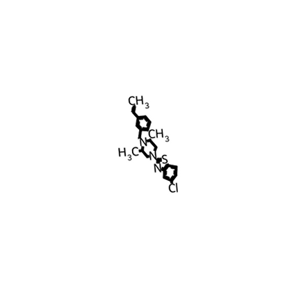 C/C=C/c1cccc(CN2C(C)CN(c3nc4cc(Cl)ccc4s3)C[C@@H]2C)c1